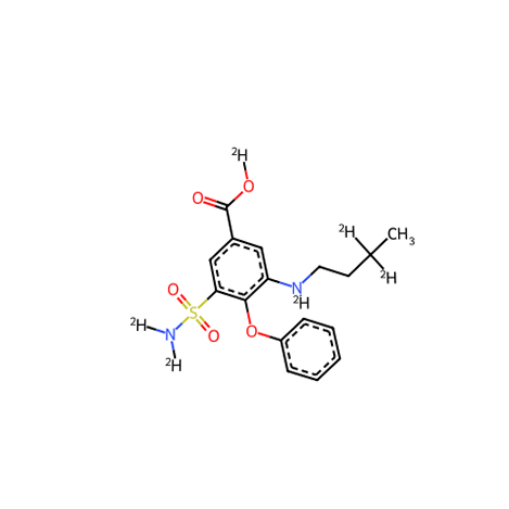 [2H]OC(=O)c1cc(N([2H])CCC([2H])([2H])C)c(Oc2ccccc2)c(S(=O)(=O)N([2H])[2H])c1